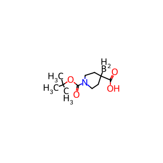 BC1(C(=O)O)CCN(C(=O)OC(C)(C)C)CC1